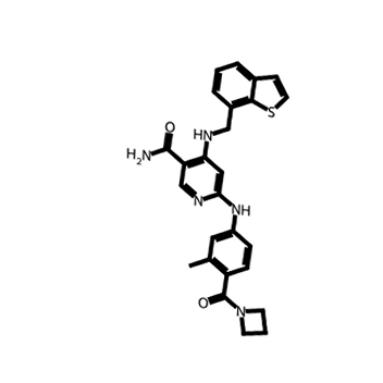 Cc1cc(Nc2cc(NCc3cccc4ccsc34)c(C(N)=O)cn2)ccc1C(=O)N1CCC1